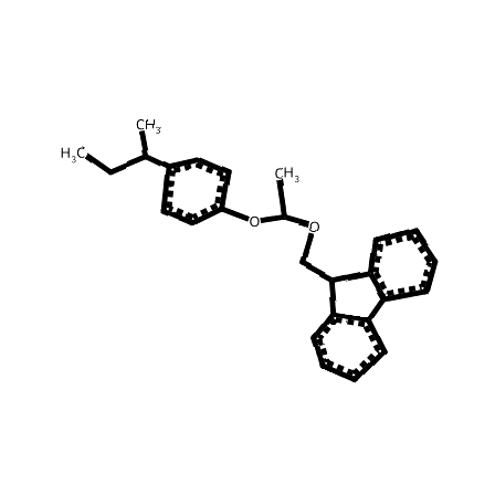 CCC(C)c1ccc(OC(C)OCC2c3ccccc3-c3ccccc32)cc1